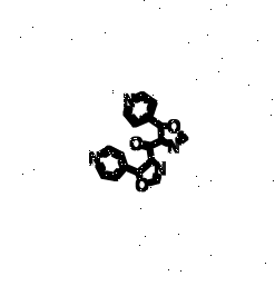 O=C(C1N=COC1c1ccncc1)C1N=COC1c1ccncc1